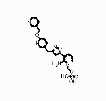 Nc1c(-c2cc(Cc3ccc(OCc4cccnc4)nc3)no2)ccc[n+]1COP(=O)(O)O